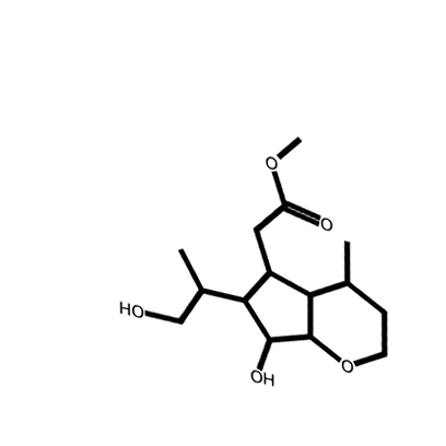 COC(=O)CC1C(C(C)CO)C(O)C2OCCC(C)C12